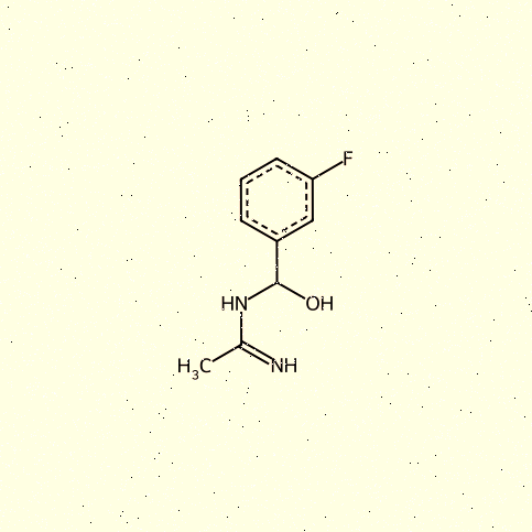 CC(=N)NC(O)c1cccc(F)c1